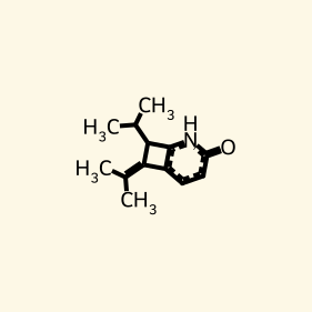 CC(C)=C1c2ccc(=O)[nH]c2C1C(C)C